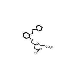 CCN(CC)CC(COc1ccccc1CCc1ccccc1)OCCC(=O)O